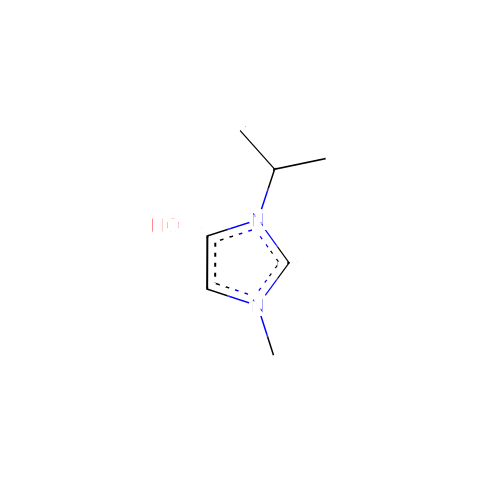 CC(C)[n+]1ccn(C)c1.[OH-]